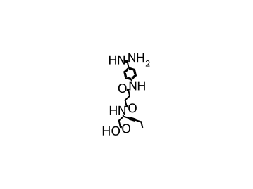 CCC#CC(CC(=O)O)NC(=O)CCC(=O)Nc1ccc(C(=N)N)cc1